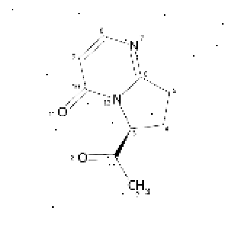 CC(=O)[C@@H]1CCc2nccc(=O)n21